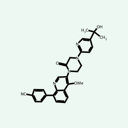 COc1c(N2CCN(c3ccc(C(C)(C)O)cn3)CC2=O)cnc2c(-c3ccc(C#N)cc3)cccc12